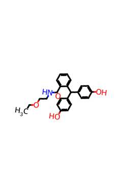 CCOCCNC(=O)c1ccccc1C(c1ccc(O)cc1)c1ccc(O)cc1